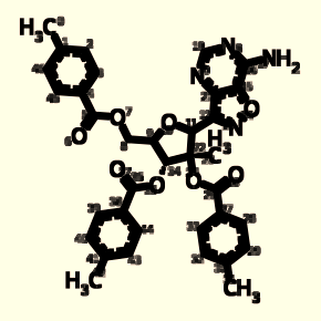 Cc1ccc(C(=O)OCC2OC(c3noc4c(N)ncnc34)[C@](C)(OC(=O)c3ccc(C)cc3)[C@@H]2OC(=O)c2ccc(C)cc2)cc1